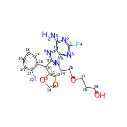 Nc1nc(F)nc2c1nc(C(C1=COCO1)c1ccccc1I)n2CCOCCCO